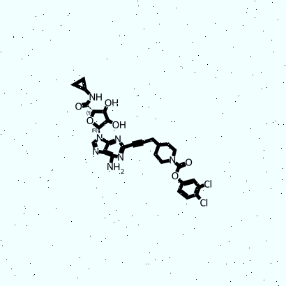 Nc1nc(C#CCC2CCN(C(=O)Oc3ccc(Cl)c(Cl)c3)CC2)nc2c1ncn2[C@@H]1O[C@H](C(=O)NC2CC2)C(O)C1O